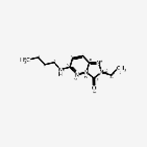 CCCCNc1ccc2nn(CC)c(=O)n2n1